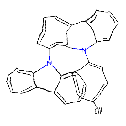 N#Cc1ccc(-n2c3ccccc3c3cccc(-n4c5ccccc5c5ccccc54)c32)cc1